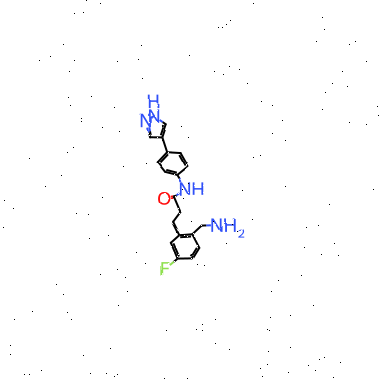 NCc1ccc(F)cc1CCC(=O)Nc1ccc(-c2cn[nH]c2)cc1